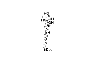 CCCCCCCCCCCCCCCOCCCNCCCNC(=O)[C@H](O)[C@@H](O)[C@H](O)[C@H](O)CO